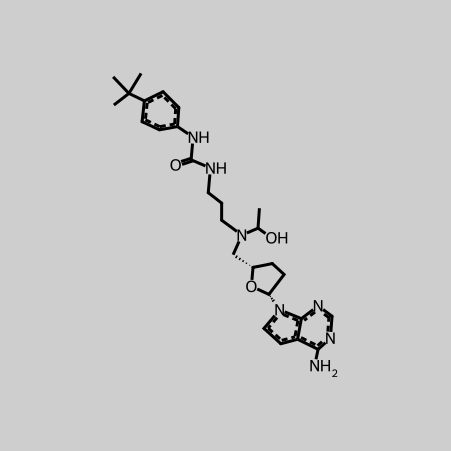 CC(O)N(CCCNC(=O)Nc1ccc(C(C)(C)C)cc1)C[C@@H]1CC[C@H](n2ccc3c(N)ncnc32)O1